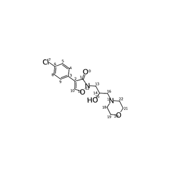 O=c1c(-c2ccc(Cl)cc2)con1CC(O)CN1CCOCC1